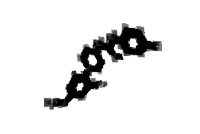 COc1ccc(N2CCC(NC(=N)Nc3ccc(Cl)cc3)CC2)c(F)c1